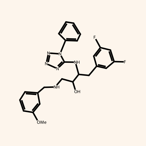 COc1cccc(CNCC(O)C(Cc2cc(F)cc(F)c2)Nc2nnnn2-c2ccccc2)c1